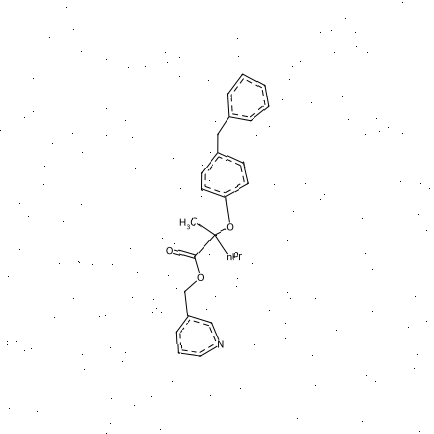 CCCC(C)(Oc1ccc(Cc2ccccc2)cc1)C(=O)OCc1cccnc1